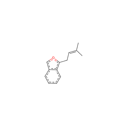 CC(C)=CCc1occ2ccccc12